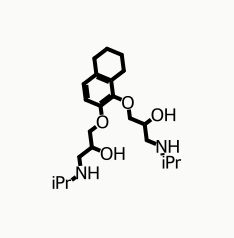 CC(C)NCC(O)COc1ccc2c(c1OCC(O)CNC(C)C)CCCC2